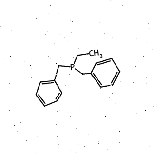 CCP(Cc1ccccc1)Cc1ccccc1